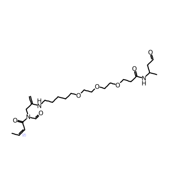 C=C(CN(C=O)C(=O)/C=C\C)NCCCCCOCCOCCOCCC(=O)NC(C)CC=O